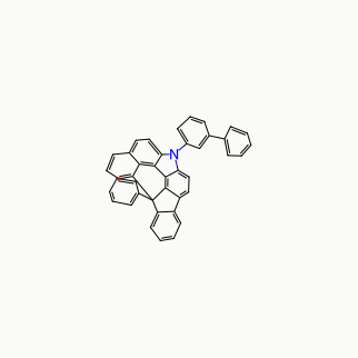 c1ccc(-c2cccc(-n3c4ccc5c6c4c4c7c(cccc7ccc43)C6(c3ccccc3)c3ccccc3-5)c2)cc1